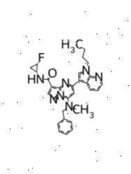 CCCCn1cc(-c2cc(N(C)Cc3ccccc3)n3ncc(C(=O)N[C@@H]4C[C@@H]4F)c3n2)c2cccnc21